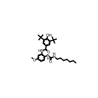 CCCCCCCNC(=O)Nc1ccc(OC)cc1NC(=O)c1cc(C(C)(C)C)c(O)c(C(C)(C)C)c1